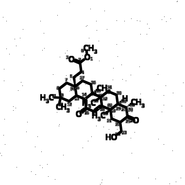 COC(=O)CC[C@]12CCC(C)(C)CC1C1C(=O)C=C3[C@@]4(C)CC(CO)C(=O)[C@@H](C)[C@@H]4CC[C@@]3(C)[C@]1(C)CC2